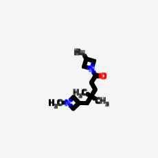 CCC(C)C1CN(C(=O)CCC(C)(C)CC2CN(C)C2)C1